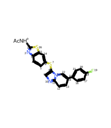 CC(=O)Nc1nc2ccc(Sc3cnc4ccc(-c5ccc(F)cc5)cn34)cc2s1